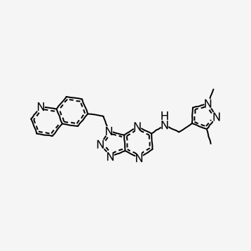 Cc1nn(C)cc1CNc1cnc2nnn(Cc3ccc4ncccc4c3)c2n1